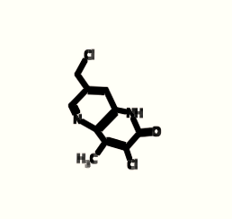 Cc1c(Cl)c(=O)[nH]c2cc(CCl)cnc12